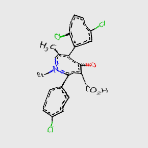 CCn1c(C)c(-c2cc(Cl)ccc2Cl)c(=O)c(C(=O)O)c1-c1ccc(Cl)cc1